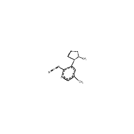 Cc1cnc(N=[N+]=[N-])c(C2CCCN2C)c1